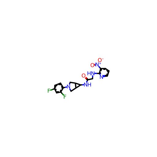 O=C(CNc1ncccc1[N+](=O)[O-])NC1C2CN(c3ccc(F)cc3F)CC21